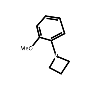 COc1ccccc1N1CCC1